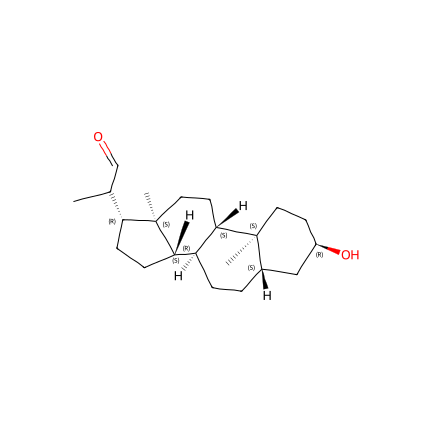 CC(C=O)[C@H]1CC[C@H]2[C@@H]3CC[C@H]4C[C@H](O)CC[C@]4(C)[C@H]3CC[C@]12C